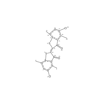 Cc1cc(Cl)c(C)c2c1SC(=C1Sc3c(C)cc(Cl)c(C)c3C1=O)C2=O